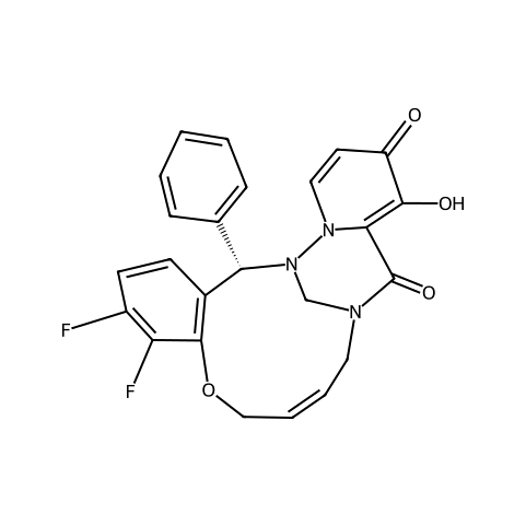 O=C1c2c(O)c(=O)ccn2N2CN1C/C=C\COc1c(ccc(F)c1F)[C@@H]2c1ccccc1